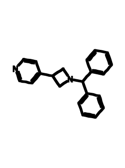 c1ccc(C(c2ccccc2)N2CC(c3ccncc3)C2)cc1